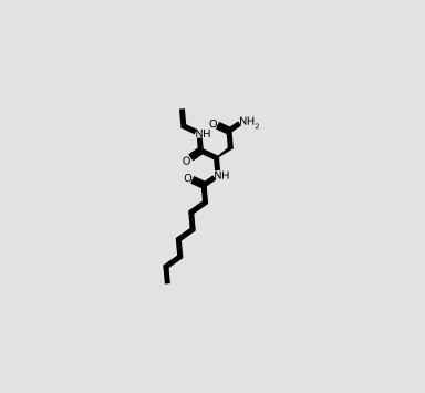 CCCCCCCC(=O)N[C@H](CC(N)=O)C(=O)NCC